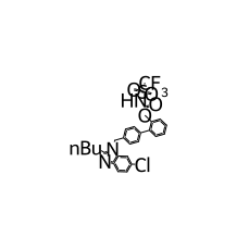 CCCCc1nc2ccc(Cl)cc2n1Cc1ccc(-c2ccccc2OC(=O)NS(=O)(=O)C(F)(F)F)cc1